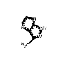 Cc1n[nH]c2nccnc12